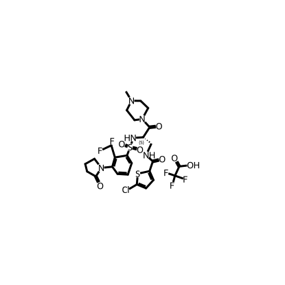 CN1CCN(C(=O)[C@H](CNC(=O)c2ccc(Cl)s2)NS(=O)(=O)c2cccc(N3CCCC3=O)c2C(F)F)CC1.O=C(O)C(F)(F)F